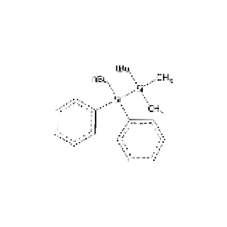 CCCC[Si](c1ccccc1)(c1ccccc1)[Si](C)(C)C(C)(C)C